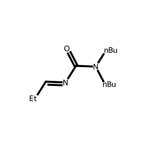 CCC=NC(=O)N(CCCC)CCCC